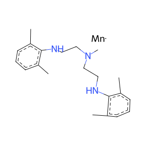 Cc1cccc(C)c1NCCN(C)CCNc1c(C)cccc1C.[Mn]